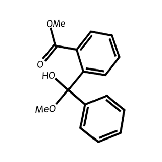 COC(=O)c1ccccc1C(O)(OC)c1ccccc1